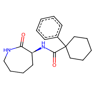 O=C1NCCCC[C@@H]1NC(=O)C1(c2ccccc2)CCCCC1